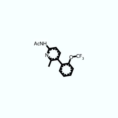 CC(=O)Nc1ccc(-c2ccccc2OC(F)(F)F)c(C)n1